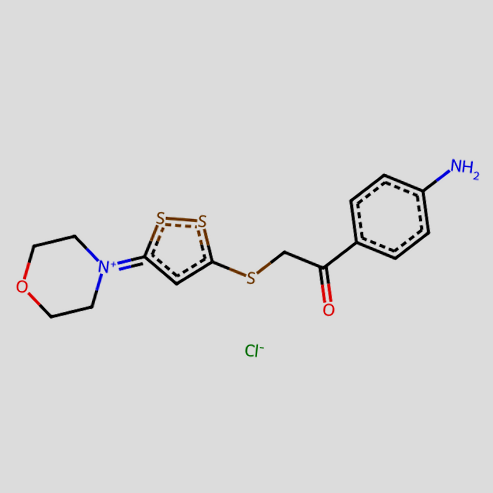 Nc1ccc(C(=O)CSc2cc(=[N+]3CCOCC3)ss2)cc1.[Cl-]